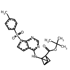 Cc1ccc(S(=O)(=O)n2ccc3c(NC4C5CC4(C(=O)OC(C)(C)C)C5)ncnc32)cc1